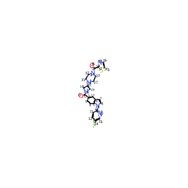 O=C(c1ccc2c(ccn2-c2ccc(F)cn2)c1)N1CC(N2CCN(C(=O)c3nccs3)CC2)C1